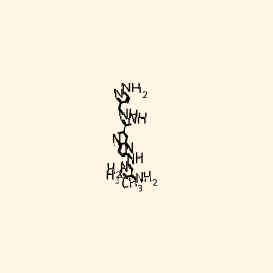 CC(C)C(=C/N)/C=C(\N)Nc1ccc2ncc(/C(C=N)=C/NCc3ccc(N)nc3)cc2n1